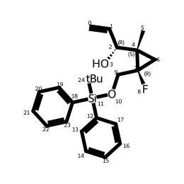 C=C[C@@H](O)[C@]1(C)C[C@]1(F)CO[Si](c1ccccc1)(c1ccccc1)C(C)(C)C